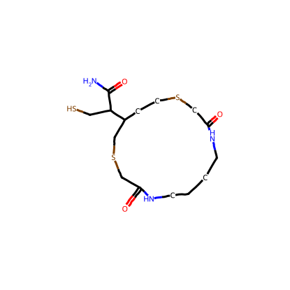 NC(=O)C(CS)C1CCSCC(=O)NCCCCNC(=O)CSC1